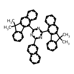 CC1(C)c2ccccc2-c2c1cc1ccccc1c2-c1nc(-c2ccc3ccccc3c2)nc(-c2c3c(cc4ccccc24)C(C)(C)c2ccccc2-3)n1